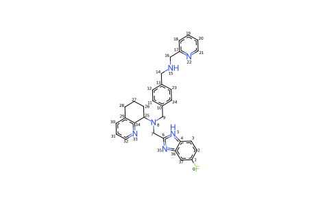 Fc1ccc2[nH]c(CN(Cc3ccc(CNCc4ccccn4)cc3)C3CCCc4cccnc43)nc2c1